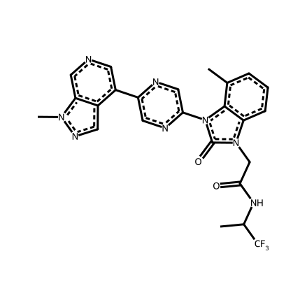 Cc1cccc2c1n(-c1cnc(-c3cncc4c3cnn4C)cn1)c(=O)n2CC(=O)NC(C)C(F)(F)F